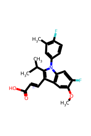 COc1cc2c(/C=C/C(=O)O)c(C(C)C)n(-c3ccc(F)c(C)c3)c2cc1F